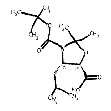 CC(C)C[C@H]1[C@H](C(=O)O)OC(C)(C)N1C(=O)OC(C)(C)C